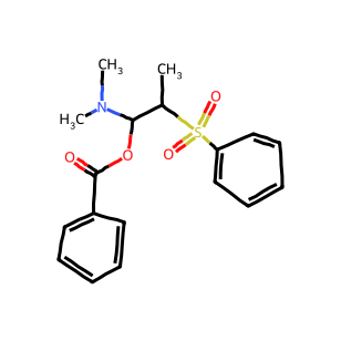 CC(C(OC(=O)c1ccccc1)N(C)C)S(=O)(=O)c1ccccc1